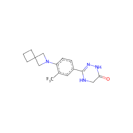 O=C1CNC(c2ccc(N3CC4(CCC4)C3)c(C(F)(F)F)c2)=NN1